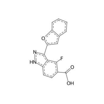 O=C(O)c1ccc2[nH]nc(-c3cc4ccccc4o3)c2c1F